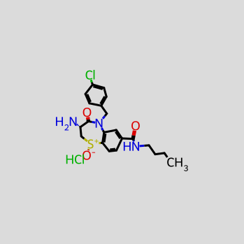 CCCCNC(=O)c1ccc2c(c1)N(Cc1ccc(Cl)cc1)C(=O)[C@@H](N)C[S+]2[O-].Cl